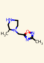 Cc1noc(CN2CCNC[C@@H]2C)n1